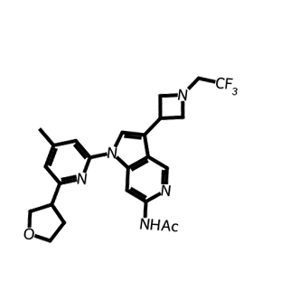 CC(=O)Nc1cc2c(cn1)c(C1CN(CC(F)(F)F)C1)cn2-c1cc(C)cc(C2CCOC2)n1